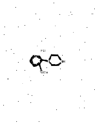 COc1ccccc1N1CCNCC1.Cl